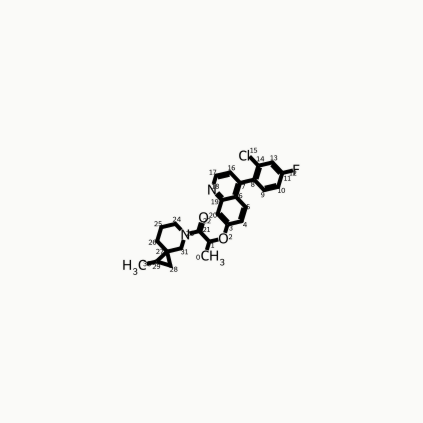 CC(Oc1ccc2c(-c3ccc(F)cc3Cl)ccnc2c1)C(=O)N1CCCC2(CC2C)C1